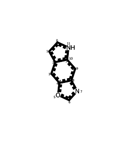 c1cc2cc3ocnc3cc2[nH]1